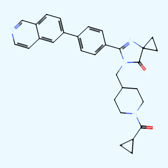 O=C(C1CC1)N1CCC(CN2C(=O)C3(CC3)N=C2c2ccc(-c3ccc4cnccc4c3)cc2)CC1